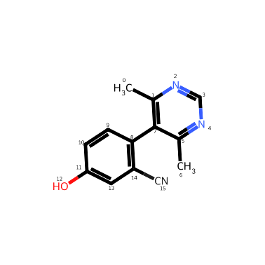 Cc1ncnc(C)c1-c1ccc(O)cc1C#N